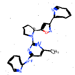 Cc1cc(Nc2ccccn2)nc(N2CCC[C@H]2c2cc(-c3ccccn3)no2)n1